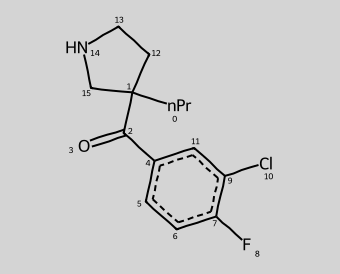 CCCC1(C(=O)c2ccc(F)c(Cl)c2)CCNC1